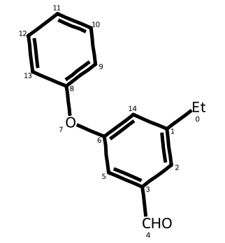 CCc1cc(C=O)cc(Oc2ccccc2)c1